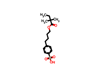 CCC(C)(C)C(=O)OCCCCc1ccc(S(=O)(=O)O)cc1